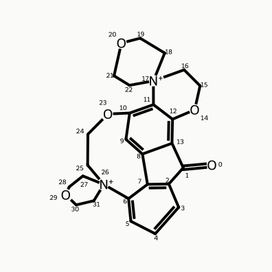 O=C1c2cccc3c2-c2cc(c4c(c21)OCC[N+]41CCOCC1)OCC[N+]31CCOCC1